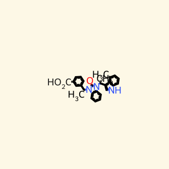 Cc1cccc2[nH]cc(C(C)n3c(=O)n(C(C)c4cccc(C(=O)O)c4)c4ccccc43)c12